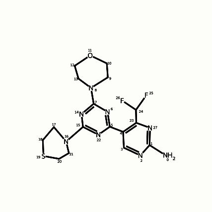 Nc1ncc(-c2nc(N3CCOCC3)nc(N3CCSCC3)n2)c(C(F)F)n1